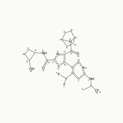 CC(Nc1cc(C(F)F)c(-c2sc(C(=O)NC3CCC3O)nc2C(=O)N2C3CCC2CC3)cn1)C(F)(F)F